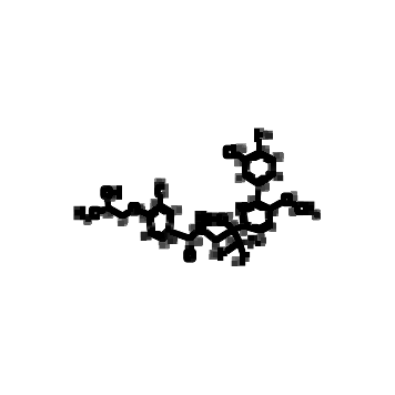 COc1ccc(C(O)(CNC(=O)c2ccc(OC[C@@H](C)O)c(Cl)c2)C(F)(F)F)nc1-c1ccc(F)c(Cl)c1